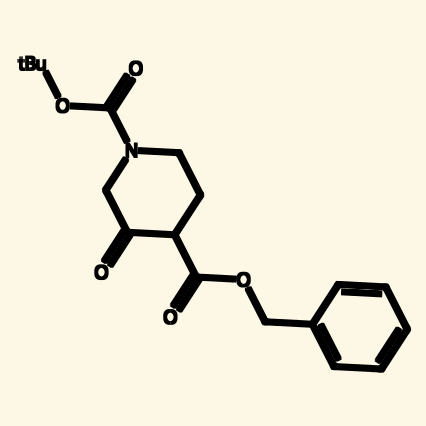 CC(C)(C)OC(=O)N1CCC(C(=O)OCc2ccccc2)C(=O)C1